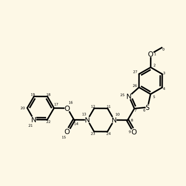 COc1ccc2sc(C(=O)N3CCN(C(=O)Oc4cccnc4)CC3)nc2c1